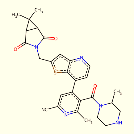 Cc1nc(C#N)cc(-c2ccnc3cc(CN4C(=O)C5C(C4=O)C5(C)C)sc23)c1C(=O)N1CCNCC1C